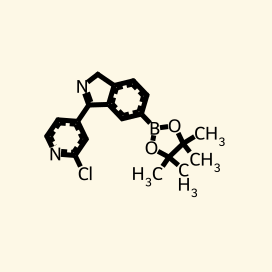 CC1(C)OB(c2ccc3c(c2)C(c2ccnc(Cl)c2)=NC3)OC1(C)C